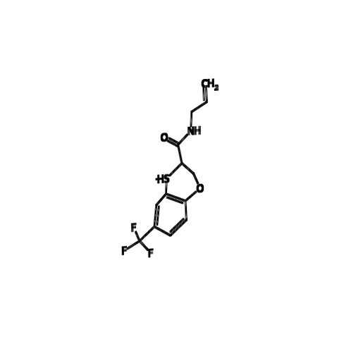 C=CCNC(=O)C1COc2ccc(C(F)(F)F)cc2[SH]1